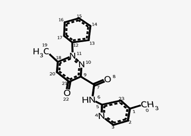 Cc1ccnc(NC(=O)c2nn(-c3ccccc3)c(C)cc2=O)c1